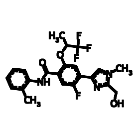 Cc1ccccc1NC(=O)c1cc(F)c(-c2cn(C)c(CO)n2)cc1OC(C)C(F)(F)F